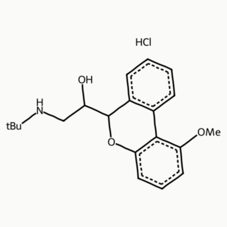 COc1cccc2c1-c1ccccc1C(C(O)CNC(C)(C)C)O2.Cl